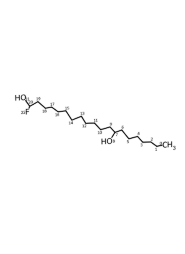 CCCCCCCC(O)CCCCCCCCCCCC(O)F